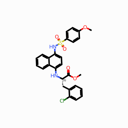 COC(=O)[C@H](Cc1ccccc1Cl)Nc1ccc(NS(=O)(=O)c2ccc(OC)cc2)c2ccccc12